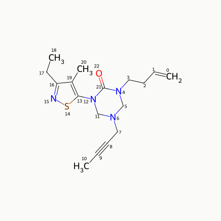 C=CCCN1CN(CC#CC)CN(c2snc(CC)c2C)C1=O